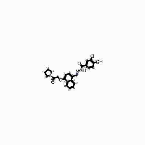 O=C(N/N=C/c1ccc(OCC(=O)N2CCCC2)c2ccccc12)c1ccc(O)c(Cl)c1